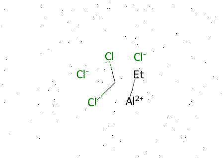 C[CH2][Al+2].ClCCl.[Cl-].[Cl-]